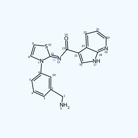 NCc1cccc(-n2ccs/c2=N\C(=O)c2c[nH]c3ncccc23)c1